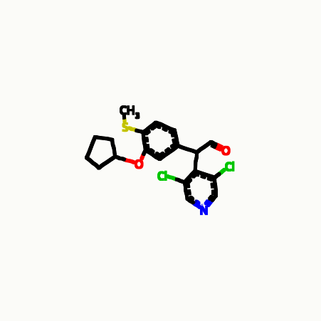 CSc1ccc(C(C=O)c2c(Cl)cncc2Cl)cc1OC1CCCC1